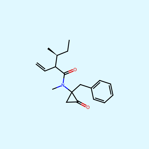 C=CC(C(=O)N(C)C1(Cc2ccccc2)CC1=O)[C@@H](C)CC